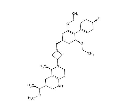 CCOC1=C(C2=CC[C@H](F)CC2)[C@@H](OCC)C[C@@H](CN2CC(N3CCC4=C(C[C@H]([C@H](C)OC)CN4)[C@H]3C)C2)C1